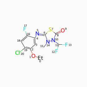 CCOc1cc(N=c2sc(=O)n(C(F)F)n2C)c(F)cc1Cl